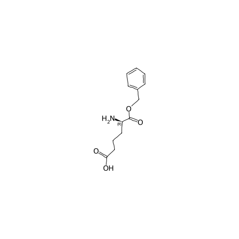 N[C@H](CCCC(=O)O)C(=O)OCc1ccccc1